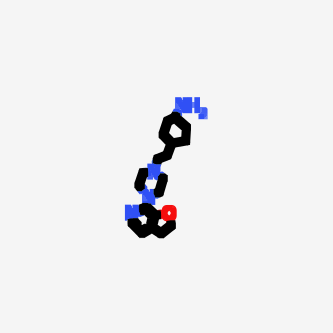 NC1CCC(CCN2CCN(c3nccc4c3OCC4)CC2)CC1